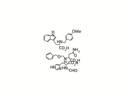 COc1ccc(CN[C@@H](Cc2c[nH]c3ccccc23)C(=O)O)cc1.NC(=O)C[C@H](NCOCc1ccccc1)C(=O)O.O=CN[C@@H](Cc1c[nH]cn1)C(=O)O